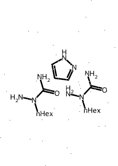 CCCCCCN(N)C(N)=O.CCCCCCN(N)C(N)=O.c1cn[nH]c1